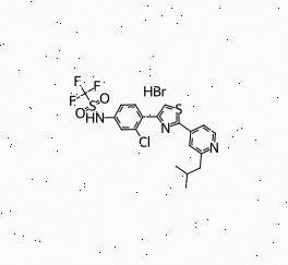 Br.CC(C)Cc1cc(-c2nc(-c3ccc(NS(=O)(=O)C(F)(F)F)cc3Cl)cs2)ccn1